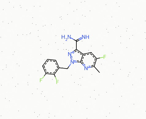 Cc1nc2c(cc1F)c(C(=N)N)nn2Cc1cccc(F)c1F